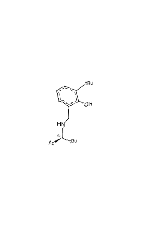 CC(=O)[C@@H](NCc1cccc(C(C)(C)C)c1O)C(C)(C)C